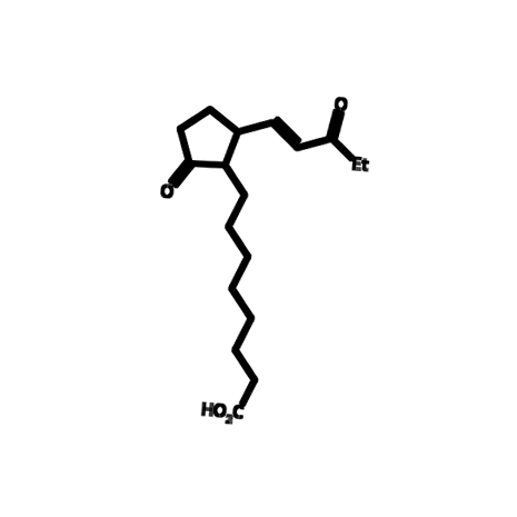 CCC(=O)/C=C/C1CCC(=O)C1CCCCCCCC(=O)O